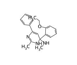 CCOc1ccccc1C1(NC)C=C(c2ccccc2)N=C(C)N1